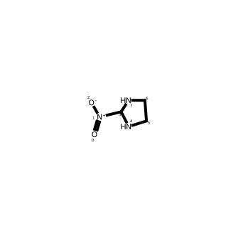 O=[N+]([O-])C1NCCN1